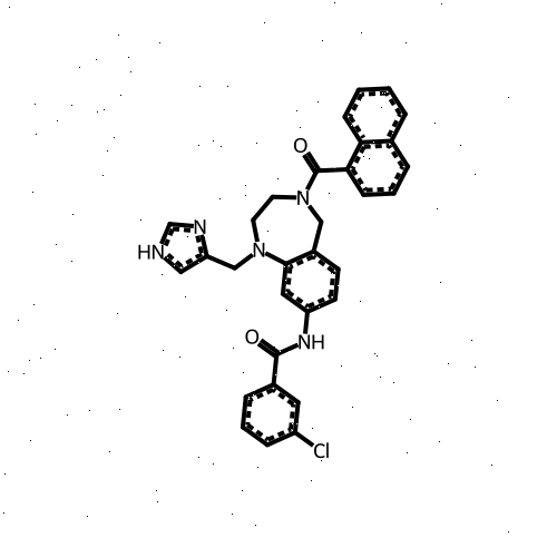 O=C(Nc1ccc2c(c1)N(Cc1c[nH]cn1)CCN(C(=O)c1cccc3ccccc13)C2)c1cccc(Cl)c1